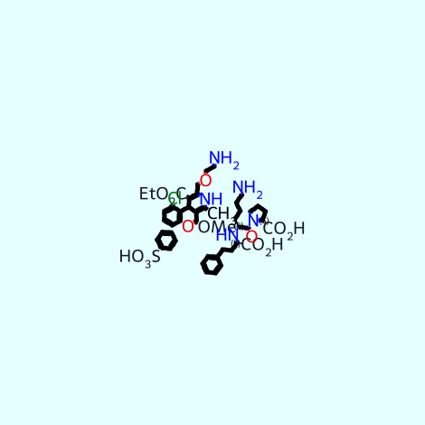 CCOC(=O)C1=C(COCCN)NC(C)=C(C(=O)OC)C1c1ccccc1Cl.NCCCC[C@H](N[C@@H](CCc1ccccc1)C(=O)O)C(=O)N1CCC[C@H]1C(=O)O.O=S(=O)(O)c1ccccc1